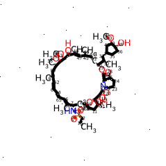 CCCS(=O)(=O)N[C@H]1C[C@@H]2CC[C@@H](C)[C@@](O)(O2)C(=O)C(=O)N2CCCC[C@H]2C(=O)O[C@H]([C@H](C)C[C@@H]2CC[C@@H](O)[C@H](OC)C2)CC[C@H](C)/C=C(\C)[C@@H](O)[C@@H](OC)C(=O)[C@H](C)C[C@H](C)/C=C/C=C/C=C/1C